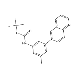 Cc1cc(NC(=O)OC(C)(C)C)cc(-c2ccc3ncccc3c2)c1